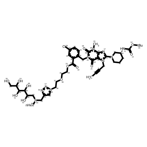 CC#CCn1c(N2CCC[C@@H](NC(=O)OC(C)(C)C)C2)nc2c1c(=O)n(Cc1ccc(Cl)cc1C(=O)OCCOCCn1cc(CN(CCCCCC)CC(O)C(O)C(O)C(O)CO)nn1)c(=O)n2C